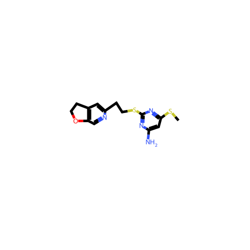 CSc1cc(N)nc(SCCc2cc3c(cn2)OCC3)n1